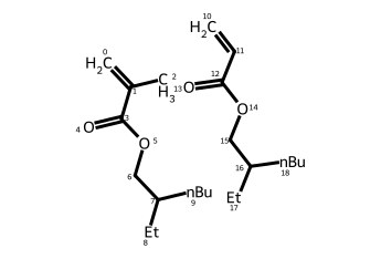 C=C(C)C(=O)OCC(CC)CCCC.C=CC(=O)OCC(CC)CCCC